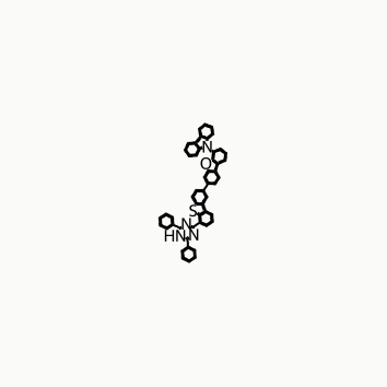 c1ccc(C2=NC(c3cccc4c3sc3ccc(-c5ccc6c(c5)oc5c(-n7c8ccccc8c8ccccc87)cccc56)cc34)=NC(c3ccccc3)N2)cc1